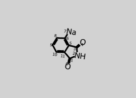 O=C1NC(=O)c2[c]([Na])cccc21